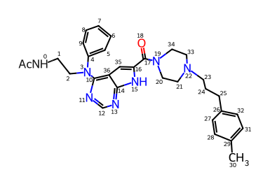 CC(=O)NCCN(c1ccccc1)c1ncnc2[nH]c(C(=O)N3CCN(CCCc4ccc(C)cc4)CC3)cc12